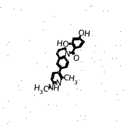 CNc1ccc(-c2ccc3c(c2)CCCN3C(=O)c2ccc(O)cc2O)c(C)n1